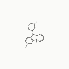 CC1=CC(N2c3ccc(C)cc3C3(C)C=CC=CC23)CCC1